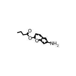 CCCC(=O)Oc1ccc2cc(N)cc-2o1